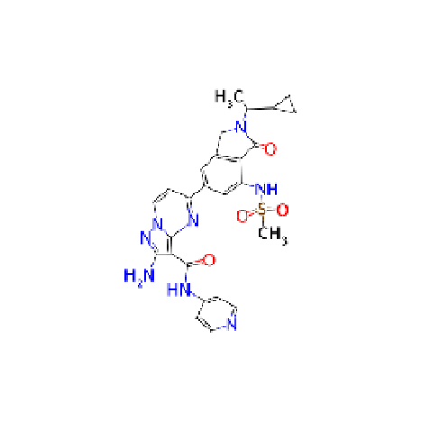 CC(C1CC1)N1Cc2cc(-c3ccn4nc(N)c(C(=O)Nc5ccncc5)c4n3)cc(NS(C)(=O)=O)c2C1=O